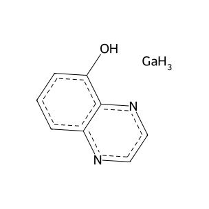 Oc1cccc2nccnc12.[GaH3]